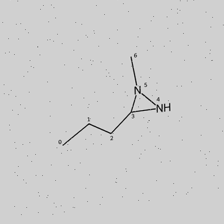 CCCC1NN1C